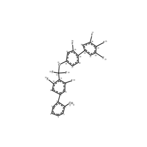 Cc1ccccc1-c1cc(F)c(C(F)(F)Oc2ccc(-c3cc(F)c(F)c(F)c3)c(F)c2)c(F)c1